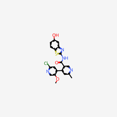 COc1cnc(Cl)cc1-c1cc(C)ncc1C(=O)Nc1nc2cc(O)ccc2s1